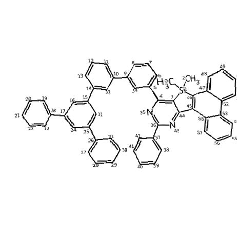 C[Si]1(C)c2c(-c3cccc(-c4cccc(-c5cc(-c6ccccc6)cc(-c6ccccc6)c5)c4)c3)nc(-c3ccccc3)nc2-c2c1c1ccccc1c1ccccc21